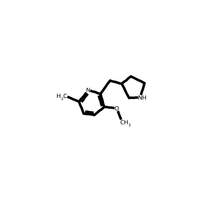 COc1ccc(C)nc1CC1CCNC1